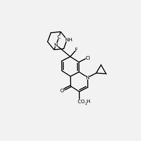 O=C(O)C1=CN(C2CC2)C2=C(Cl)C(F)(N3CC4CCC3CN4)C=CC2C1=O